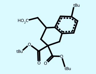 CC(C)(C)OC(=O)C1(C(=O)OC(C)(C)C)Cc2ccc(C(C)(C)C)cc2C(CC(=O)O)C1